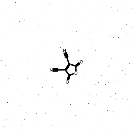 N#CC1=C(C#N)C(=O)OC1=O